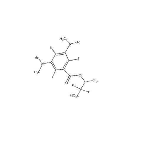 CC(=O)N(C)c1c(I)c(C(=O)OC(C(F)(F)F)C(F)(F)S(=O)(=O)O)c(I)c(N(C)C(C)=O)c1I